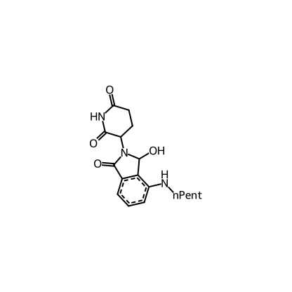 CCCCCNc1cccc2c1C(O)N(C1CCC(=O)NC1=O)C2=O